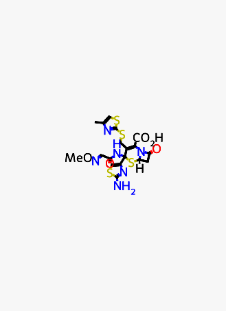 CON=CC(=O)NC1(c2csc(N)n2)S[C@H]2CC(=O)N2C(C(=O)O)=C1CSc1nc(C)cs1